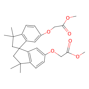 COC(=O)COc1ccc2c(c1)C1(CC2(C)C)CC(C)(C)c2ccc(OCC(=O)OC)cc21